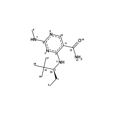 CC[C@H](Nc1nc(NC)ncc1C(N)=O)C(C)(C)C